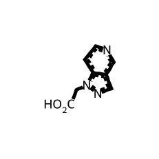 O=C(O)Cn1ncc2cnccc21